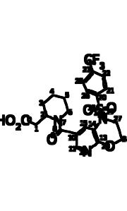 O=C(O)CC1CCCCN1C(=O)c1cnc2c(c1)N(S(=O)(=O)c1ccc(C(F)(F)F)cc1)CCO2